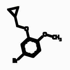 COc1ccc(Br)cc1OCC1CC1